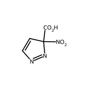 O=C(O)C1([N+](=O)[O-])C=CN=N1